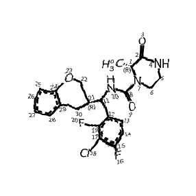 C[C@@H]1C(=O)NCCN1C(=O)NC(c1ccc(F)c(Cl)c1F)[C@@H]1COc2ccccc2C1